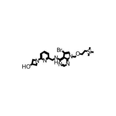 C[Si](C)(C)CCOCn1cc(Br)c2c(NCc3cccc(N4CC(O)C4)n3)ncnc21